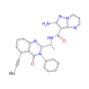 CC(NC(=O)c1c(N)nn2cccnc12)c1nc2cccc(C#CC(C)(C)C)c2c(=O)n1-c1ccccc1